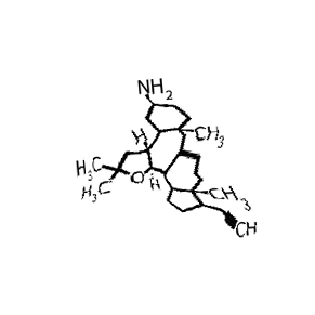 C#CC1CCC2C3C(CC[C@]12C)[C@@]1(C)CC[C@H](N)CC1[C@H]1CC(C)(C)O[C@H]31